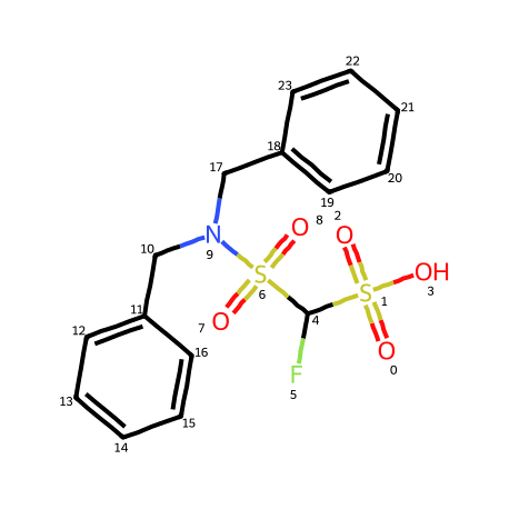 O=S(=O)(O)C(F)S(=O)(=O)N(Cc1ccccc1)Cc1ccccc1